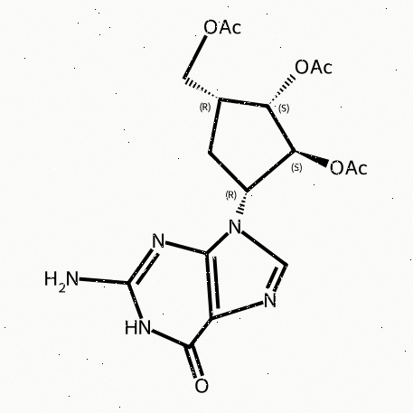 CC(=O)OC[C@H]1C[C@@H](n2cnc3c(=O)[nH]c(N)nc32)[C@H](OC(C)=O)[C@H]1OC(C)=O